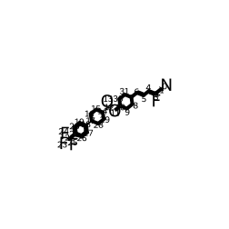 N#CC(F)=C/C=C/C1CCC(OC(=O)[C@H]2CC[C@H](c3ccc(C(F)(F)F)cc3)CC2)CC1